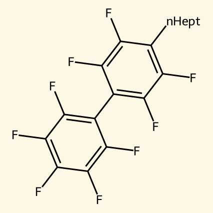 CCCCCCCc1c(F)c(F)c(-c2c(F)c(F)c(F)c(F)c2F)c(F)c1F